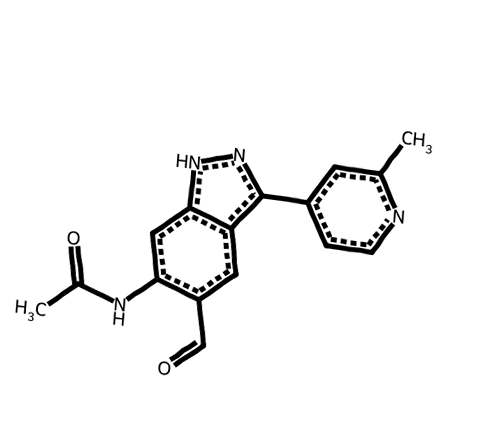 CC(=O)Nc1cc2[nH]nc(-c3ccnc(C)c3)c2cc1C=O